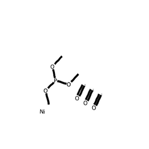 COP(OC)OC.[C]=O.[C]=O.[C]=O.[Ni]